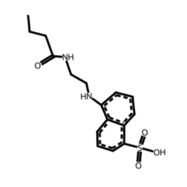 CCCC(=O)NCCNc1cccc2c(S(=O)(=O)O)cccc12